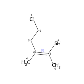 C/C(S)=C(\C)CCCl